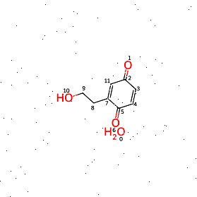 O.O=C1C=CC(=O)C(CCO)=C1